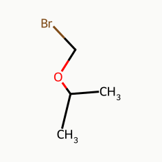 CC(C)OCBr